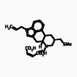 C=CCn1cc2c3c(cccc31)C1C[C@@H](CSC)CN(CCC)[C@@H]1C2.O=C(O)/C=C\C(=O)O